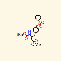 COC(=O)CC(Cc1ccc(OS(=O)(=O)c2ccccc2)cc1)NC(=O)OC(C)(C)C